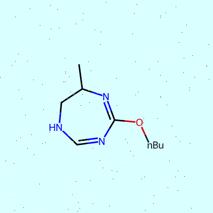 CCCCOC1=NC(C)CNC=N1